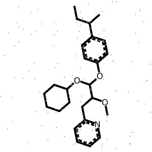 CCC(C)c1ccc(OC(OC2CCCCC2)C(Cc2ccccn2)OC)cc1